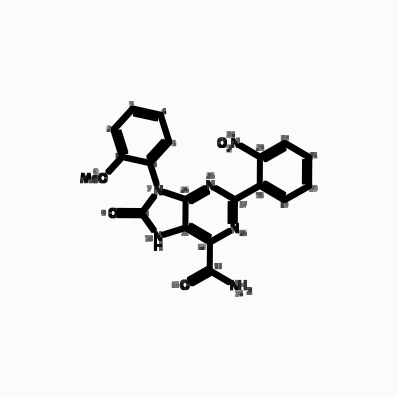 COc1ccccc1-n1c(=O)[nH]c2c(C(N)=O)nc(-c3ccccc3[N+](=O)[O-])nc21